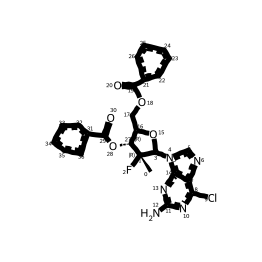 C[C@]1(F)C(n2cnc3c(Cl)nc(N)nc32)OC(COC(=O)c2ccccc2)[C@H]1OC(=O)c1ccccc1